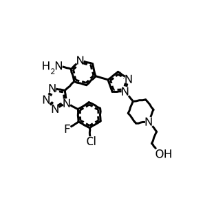 Nc1ncc(-c2cnn(C3CCN(CCO)CC3)c2)cc1-c1nnnn1-c1cccc(Cl)c1F